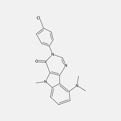 CN(C)c1cccc2c1c1ncn(-c3ccc(Cl)cc3)c(=O)c1n2C